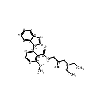 CCN(CC)CC(O)CNC(=O)c1c(OC)cccc1-n1ccc2ccccc21